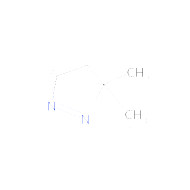 CC1(C)CCN=N1